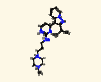 CC(C)c1nn2ccccc2c1-c1ccnc(NCCCN2CCN(C)CC2)n1